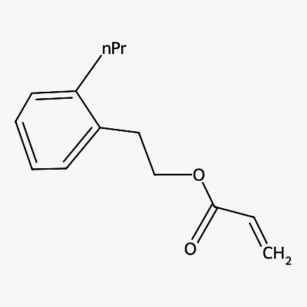 C=CC(=O)OCCc1ccccc1CCC